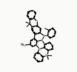 Cc1ccccc1N1B2c3cccc4c3N(c3ccccc3[Si]4(C)C)c3cc(C(C)(C)C)cc(c32)-c2cc3c(cc21)Sc1ccccc1C3(C)C